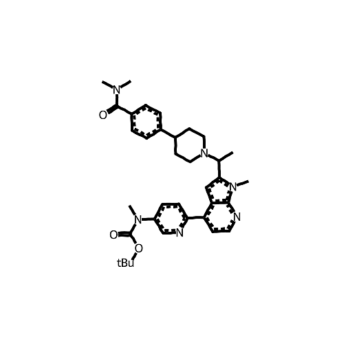 CC(c1cc2c(-c3ccc(N(C)C(=O)OC(C)(C)C)cn3)ccnc2n1C)N1CCC(c2ccc(C(=O)N(C)C)cc2)CC1